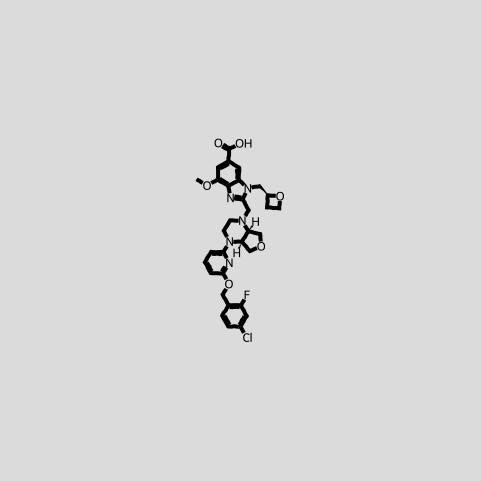 COc1cc(C(=O)O)cc2c1nc(CN1CCN(c3cccc(OCc4ccc(Cl)cc4F)n3)[C@@H]3COC[C@@H]31)n2C[C@@H]1CCO1